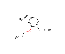 C=C.C=CCOc1ccccc1CCCCCCCC